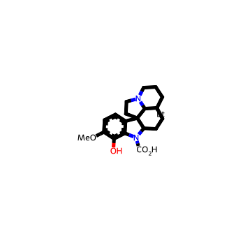 CCC12CCCN3CCC4(c5ccc(OC)c(O)c5N(C(=O)O)C4CC1)C32